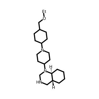 CCOCC1CCC(N2CCC(N3CNC[C@H]4CCCC[C@@H]43)CC2)CC1